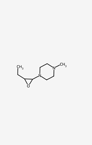 CCC1OC1N1CCN(C)CC1